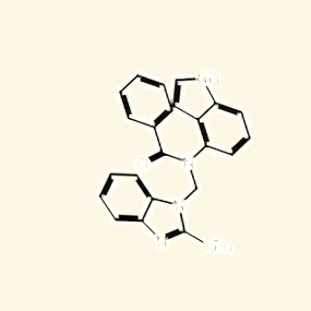 CCCCc1nc2ccccc2n1CN(C(=O)c1ccccc1)c1cccc2[nH]ccc12